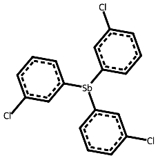 Clc1ccc[c]([Sb]([c]2cccc(Cl)c2)[c]2cccc(Cl)c2)c1